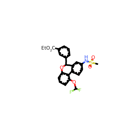 CCOC(=O)c1cccc(C2Oc3cccc(OC(F)F)c3-c3ccc(NS(C)(=O)=O)cc32)c1